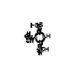 O=[PH](O)OCN1CCNCCN(CO[PH](=O)O)CCN(CO[PH](=O)O)CC1